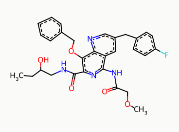 CCC(O)CNC(=O)c1nc(NC(=O)COC)c2cc(Cc3ccc(F)cc3)cnc2c1OCc1ccccc1